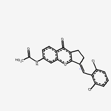 O=C(O)C(=O)Nc1ccc2c(=O)c3c(oc2c1)/C(=C/c1c(Cl)cccc1Cl)CC3